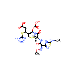 CNc1nc(/C(=N/OC)C(=O)N[C@@H]2C(=O)N3C(OC(=O)O)=C(C(CC(=O)O)Sc4nnn[nH]4)CS[C@@H]23)ns1